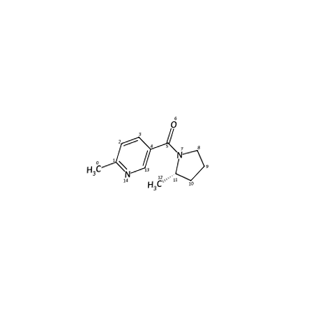 Cc1ccc(C(=O)N2CCC[C@@H]2C)cn1